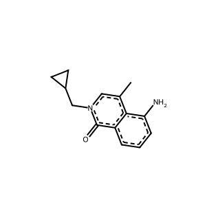 Cc1cn(CC2CC2)c(=O)c2cccc(N)c12